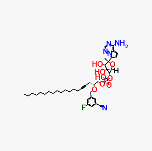 CCCCCCCCCCCCCCC#CC[C@H](COP(=O)(O)OC1[C@H]2O[C@@](C)(c3ccc4c(N)ncnn34)[C@H](O)[C@@]12O)OCc1cc(F)cc(C#N)c1